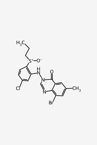 CCC[S+]([O-])c1ccc(Cl)cc1Nn1cnc2c(Br)cc(C)cc2c1=O